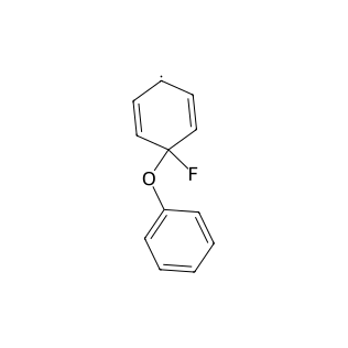 FC1(Oc2ccccc2)C=C[CH]C=C1